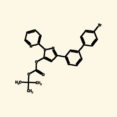 CC(C)(C)OC(=O)Oc1cc(-c2cccc(-c3ccc(Br)cc3)c2)nn1-c1ccccn1